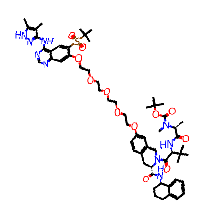 Cc1[nH]nc(Nc2ncnc3cc(OCCOCCOCCOCCOc4ccc5c(c4)CN(C(=O)[C@@H](NC(=O)[C@H](C)N(C)C(=O)OC(C)(C)C)C(C)(C)C)[C@H](C(=O)N[C@@H]4CCCc6ccccc64)C5)c(S(=O)(=O)C(C)(C)C)cc23)c1C